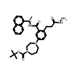 C[C@@H](NC(=O)c1cc(N2CCCN(C(=O)OC(C)(C)C)CC2)ccc1CCC(=O)NN)c1cccc2ccccc12